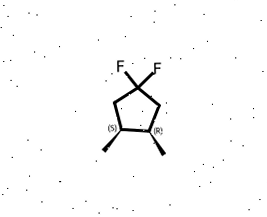 C[C@@H]1CC(F)(F)C[C@@H]1C